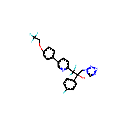 O[C@@](Cn1cnnn1)(c1ccc(F)cc1)C(F)(F)c1ccc(-c2ccc(OCC(F)(F)F)cc2)cn1